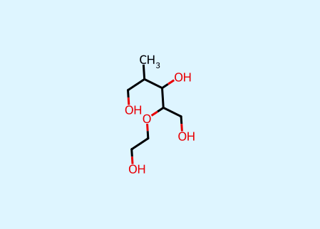 CC(CO)C(O)C(CO)OCCO